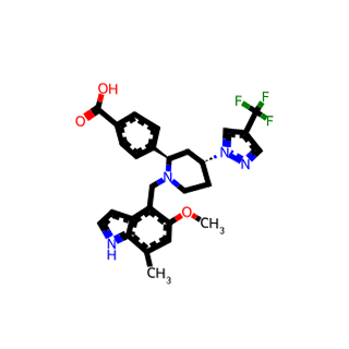 COc1cc(C)c2[nH]ccc2c1CN1CC[C@@H](n2cc(C(F)(F)F)cn2)C[C@@H]1c1ccc(C(=O)O)cc1